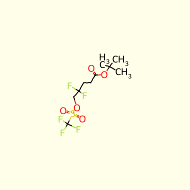 CC(C)(C)OC(=O)CCC(F)(F)COS(=O)(=O)C(F)(F)F